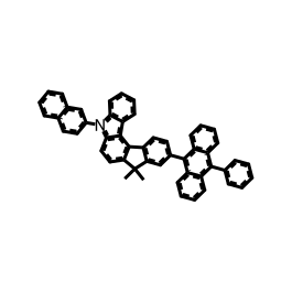 CC1(C)c2cc(-c3c4ccccc4c(-c4ccccc4)c4ccccc34)ccc2-c2c1ccc1c2c2ccccc2n1-c1ccc2ccccc2c1